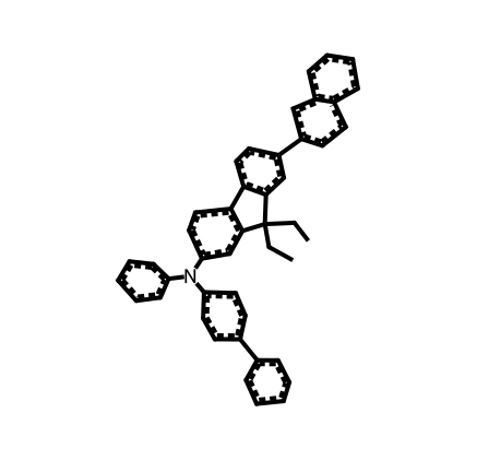 CCC1(CC)c2cc(-c3ccc4ccccc4c3)ccc2-c2ccc(N(c3ccccc3)c3ccc(-c4ccccc4)cc3)cc21